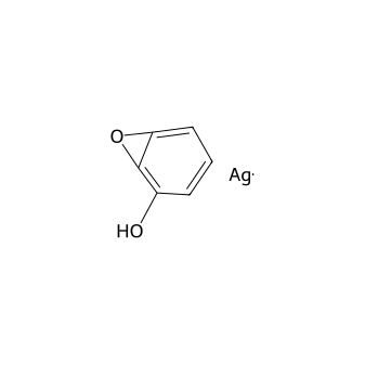 Oc1cccc2c1O2.[Ag]